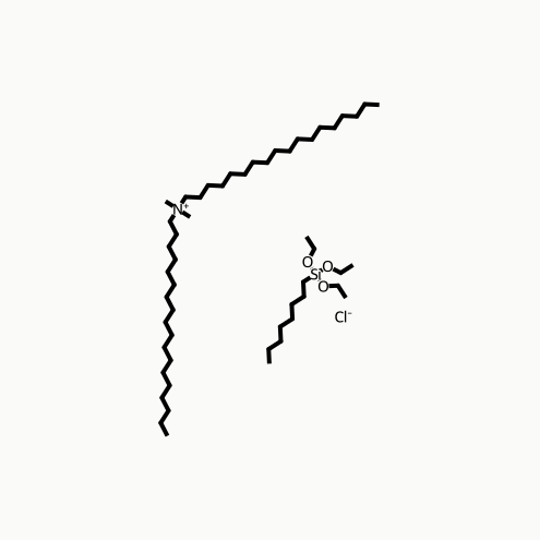 CCCCCCCCCCCCCCCCCC[N+](C)(C)CCCCCCCCCCCCCCCCCC.CCCCCCCC[Si](OCC)(OCC)OCC.[Cl-]